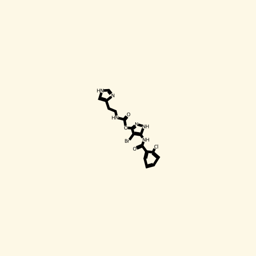 O=C(NCCc1c[nH]cn1)Oc1n[nH]c(NC(=O)c2ccccc2Cl)c1Br